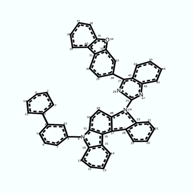 c1ccc(-c2cccc(-n3c4ccccc4c4c5c6ccccc6n(-c6nc(-c7ccc8c(c7)oc7ccccc78)c7ccccc7n6)c5ccc43)c2)cc1